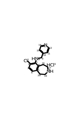 Cl.Clc1ccc2c(c1NCc1ccncc1)CCNCC2